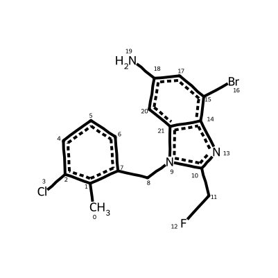 Cc1c(Cl)cccc1Cn1c(CF)nc2c(Br)cc(N)cc21